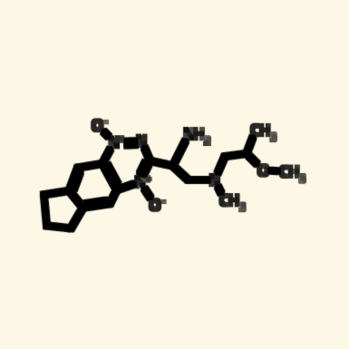 COC(C)CN(C)CC(N)c1n[n+]([O-])c2cc3c(cc2[n+]1[O-])CCC3